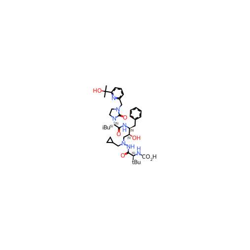 CC[C@H](C)[C@@H](C(=O)N[C@@H](Cc1ccccc1)[C@@H](O)CN(CC1CC1)NC(=O)[C@@H](NC(=O)O)C(C)(C)C)N1CCN(Cc2cccc(C(C)(C)O)n2)C1=O